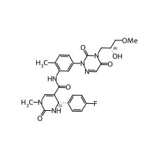 COC[C@H](O)Cn1c(=O)cnn(-c2ccc(C)c(NC(=O)C3=CN(C)C(=O)N[C@H]3c3ccc(F)cc3)c2)c1=O